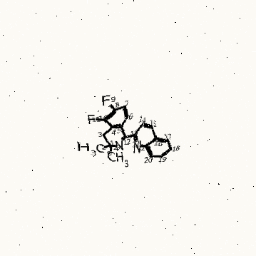 CC1(C)Cc2c(ccc(F)c2F)C(c2ccc3ccccc3n2)=N1